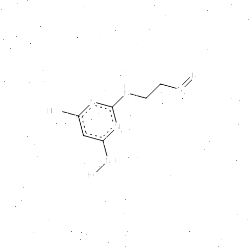 CCNc1cc(C)nc(NCCN=N)n1